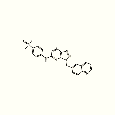 CP(C)(=O)c1ccc(Nc2cnc3nnn(Cc4ccc5ncccc5c4)c3n2)cc1